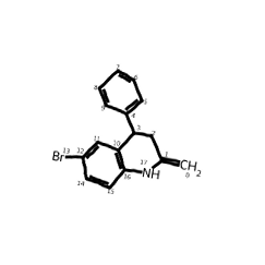 C=C1CC(c2ccccc2)c2cc(Br)ccc2N1